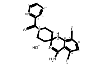 Cl.NC1=NC2(CCN(C(=O)c3cnccn3)CC2)Nc2c(F)ccc(F)c21